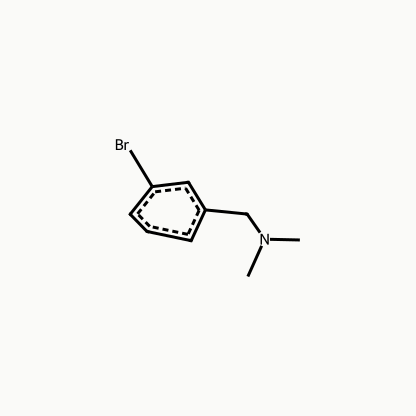 CN(C)Cc1cccc(Br)c1